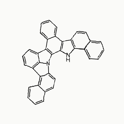 c1ccc2c(c1)ccc1c2[nH]c2c1c1ccccc1c1c3cccc4c5c6ccccc6ccc5n(c43)c21